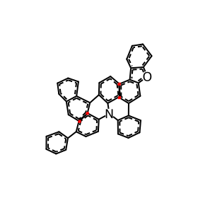 c1ccc(-c2ccc(N(c3ccccc3-c3ccc4c(c3)oc3ccccc34)c3ccccc3-c3cccc4ccccc34)cc2)cc1